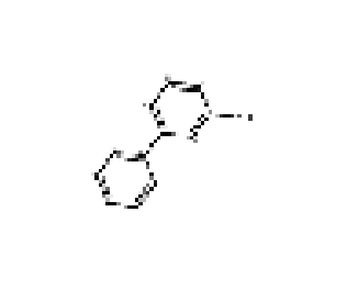 Nc1[c]c(-c2ccccc2)ccc1